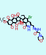 COC1=CC(=O)c2c(O)c3c(c(O)c2C1=O)C(=O)[C@]1(CCc2c1c(O)c1c(=O)[nH]c(/C=N/NC(=O)CN4CCOCC4)cc1c2Br)C3=O